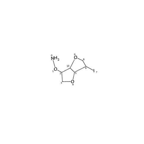 NOC1COC2C(I)COC12